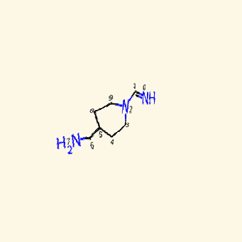 N=CN1CCC(CN)CC1